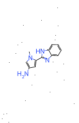 Cn1cc(N)cc1-c1nc2ccccc2[nH]1